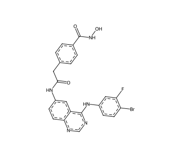 O=C(Cc1ccc(C(=O)NO)cc1)Nc1ccc2ncnc(Nc3ccc(Br)c(F)c3)c2c1